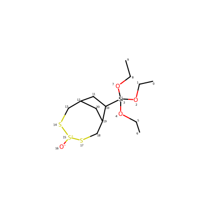 CCO[Si](OCC)(OCC)C1CC2CS[S+]([O-])SCC1C2